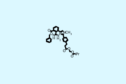 CC(C)C(=O)OCOC(=O)CCc1ccc(-c2nc(-c3cccc(C(=O)OCc4ccccc4)c3C(=N)N)cn2C)cc1